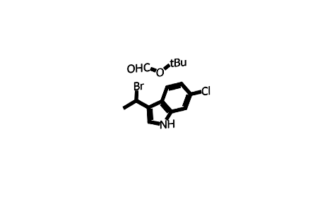 CC(Br)c1c[nH]c2cc(Cl)ccc12.CC(C)(C)OC=O